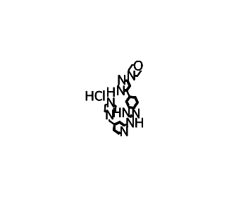 Cl.c1cc(CN2CCNCC2)cc(Nc2nc3ccc(-c4cc(N5CCOCC5)ncn4)cc3[nH]2)n1